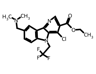 CCOC(=O)c1cnc2c3cc(CN(C)C)ccc3n(CC(F)(F)F)c2c1Cl